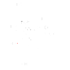 CCOC(=O)C=Nc1c2cccc1C1([C]2=[Ru+4])N(c2c(C)cc(C)cc2C)CCN1c1c(C)cc(C)cc1C.[Cl-].[Cl-].[Cl-].[Cl-]